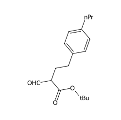 CCCc1ccc(CCC(C=O)C(=O)OC(C)(C)C)cc1